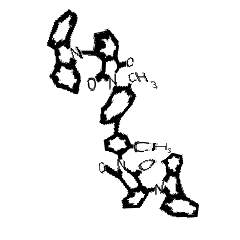 Cc1cc(-c2ccc(N3C(=O)c4cccc(-n5c6ccccc6c6ccccc65)c4C3=O)c(C)c2)ccc1N1C(=O)c2cccc(-n3c4ccccc4c4ccccc43)c2C1=O